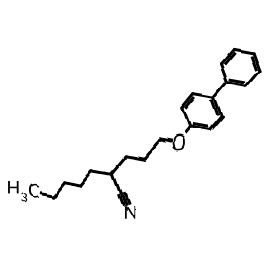 CCCCCC(C#N)CCCOc1ccc(-c2ccccc2)cc1